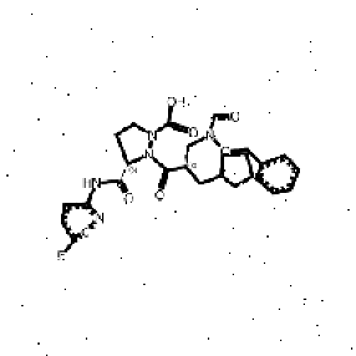 O=CN(C[C@@H](CC1CCCC1)C(=O)N1[C@H](C(=O)Nc2ccc(F)cn2)CCN1C(=O)O)OCc1ccccc1